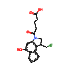 O=C(O)CCCC(=O)N1CC(CCl)c2c1cc(O)c1ccccc21